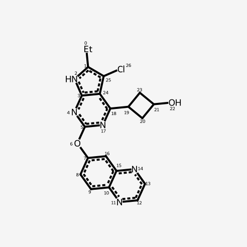 CCc1[nH]c2nc(Oc3ccc4nccnc4c3)nc(C3CC(O)C3)c2c1Cl